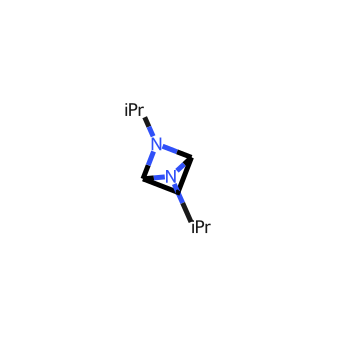 CC(C)N1C2CC1N2C(C)C